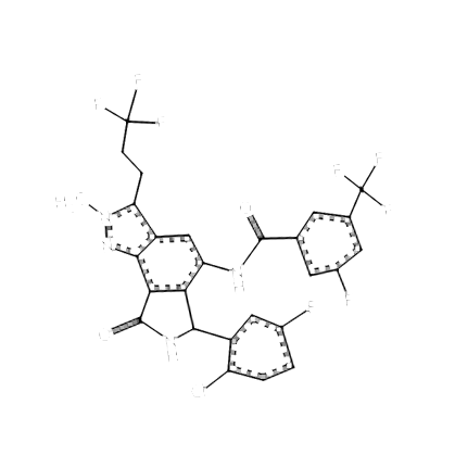 Cn1nc2c3c(c(NC(=O)c4cc(F)cc(C(F)(F)F)c4)cc2c1CCC(F)(F)F)C(c1cc(F)ccc1Cl)NC3=O